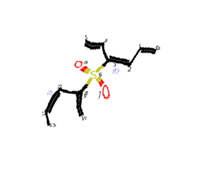 C=C/C=C(\C=C)S(=O)(=O)C(=C)/C=C\C